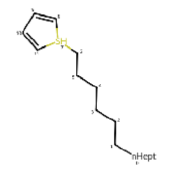 CCCCCCCCCCCCC[SH]1C=CC=C1